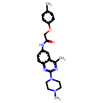 Cc1ccc(OCC(=O)Nc2ccc3nc(N4CCN(C)CC4)nc(C)c3c2)cc1